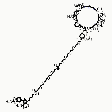 CO[C@H]1C[C@@H]2CC[C@@H](C)[C@@](O)(O2)C(=O)C(=O)N2CCCC[C@H]2C(=O)O[C@H]([C@H](N)C[C@@H]2CC[C@@H](OC(=O)NCCOCCOCCOCCOCCC(=O)NCCOCCOCCOCCOCCC(=O)NCCCCn3nc(-c4ccc5oc(N)nc5c4)c4c(N)ncnc43)[C@H](OC)C2)CC(=O)[C@H](C)/C=C(\C)[C@@H](O)[C@@H](O)C(=O)[C@H](C)C[C@H](C)/C=C/C=C/C=C/1C